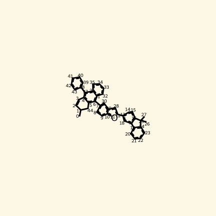 CC1C=Cc2c(c(-c3ccc4oc(-c5ccc6c(c5)-c5ccccc5C6(C)C)cc4c3)c3ccccc3c2-c2ccccc2)C1